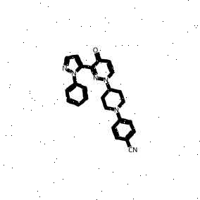 N#Cc1ccc(N2CCC(n3ccc(=O)c(-c4ccnn4-c4ccccc4)n3)CC2)cc1